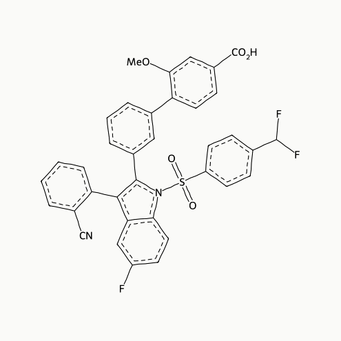 COc1cc(C(=O)O)ccc1-c1cccc(-c2c(-c3ccccc3C#N)c3cc(F)ccc3n2S(=O)(=O)c2ccc(C(F)F)cc2)c1